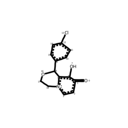 O=c1ccn2c(c1O)C(c1ccc(Cl)cc1)OCC2